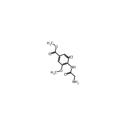 COC(=O)c1ccc(NC(=O)CN)c(OC)c1.Cl